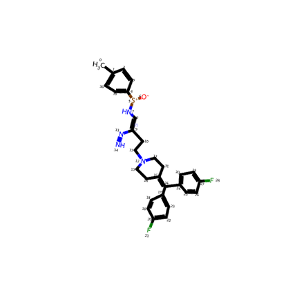 Cc1ccc([S+]([O-])N/C=C(/CCN2CCC(=C(c3ccc(F)cc3)c3ccc(F)cc3)CC2)N=N)cc1